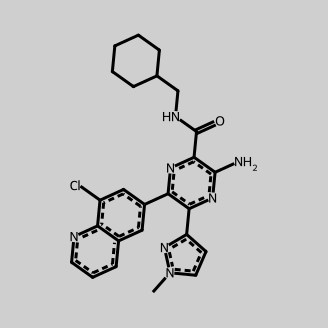 Cn1ccc(-c2nc(N)c(C(=O)NCC3CCCCC3)nc2-c2cc(Cl)c3ncccc3c2)n1